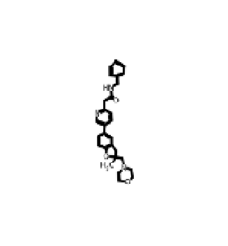 CC1(CN2CCOCC2)Cc2cc(-c3ccc(CC(=O)NCc4ccccc4)nc3)ccc2O1